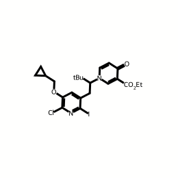 CCOC(=O)c1cn(C(Cc2cc(OCC3CC3)c(Cl)nc2I)C(C)(C)C)ccc1=O